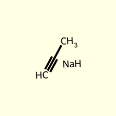 C#CC.[NaH]